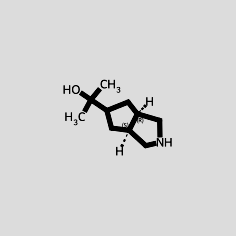 CC(C)(O)C1C[C@H]2CNC[C@H]2C1